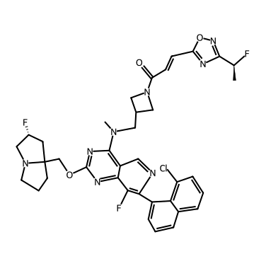 C[C@H](F)c1noc(/C=C/C(=O)N2CC(CN(C)c3nc(OCC45CCCN4C[C@H](F)C5)nc4c(F)c(-c5cccc6cccc(Cl)c56)ncc34)C2)n1